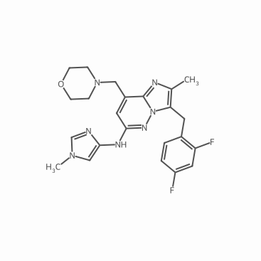 Cc1nc2c(CN3CCOCC3)cc(Nc3cn(C)cn3)nn2c1Cc1ccc(F)cc1F